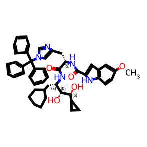 COc1ccc2[nH]c(C(=O)N[C@@H](Cc3cn(C(c4ccccc4)(c4ccccc4)c4ccccc4)cn3)C(=O)N[C@@H](CC3CCCCC3)[C@@H](O)[C@@H](O)C3CC3)cc2c1